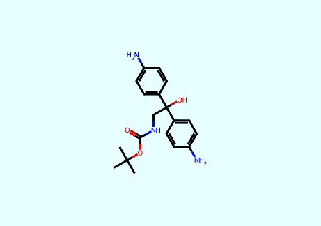 CC(C)(C)OC(=O)NCC(O)(c1ccc(N)cc1)c1ccc(N)cc1